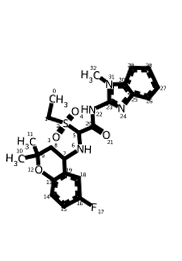 CCS(=O)(=O)C(NC1CC(C)(C)Oc2ccc(F)cc21)C(=O)Nc1nc2ccccc2n1C